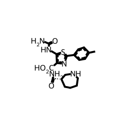 Cc1ccc(-c2nc(C(=O)O)c(NC(N)=O)s2)cc1.NC(=O)[C@H]1CCCCNC1